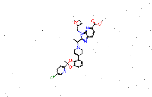 COC(=O)c1ccc2nc(C(C)N3CC=C(c4cccc5c4OC(C)(c4ccc(Cl)cn4)O5)CC3)n(C[C@@H]3CCO3)c2n1